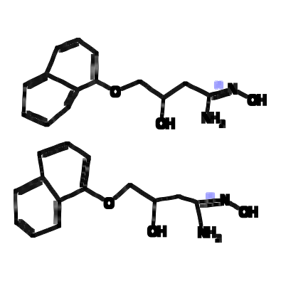 N/C(CC(O)COc1cccc2ccccc12)=N\O.N/C(CC(O)COc1cccc2ccccc12)=N\O